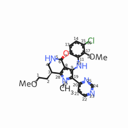 COCC[C@H]1CNC(=O)c2c(Nc3cccc(Cl)c3OC)c(-c3ccncn3)n(C)c21